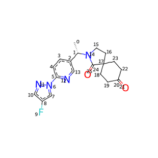 C[C@@H](c1ccc(-n2cc(F)cn2)nc1)N1CCC2(CCC(=O)CC2)C1=O